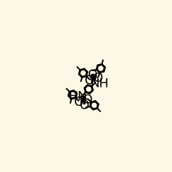 Cc1ccc(OP(=O)(Nc2ccc(NP(=O)(Oc3ccc(C)cc3C)Oc3ccc(C)cc3C)cc2)Oc2ccc(C)cc2C)c(C)c1